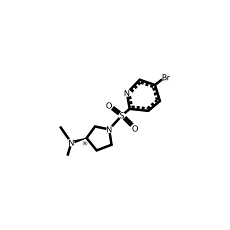 CN(C)[C@@H]1CCN(S(=O)(=O)c2ccc(Br)cn2)C1